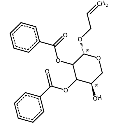 C=CCO[C@@H]1OC[C@@H](O)C(OC(=O)c2ccccc2)C1OC(=O)c1ccccc1